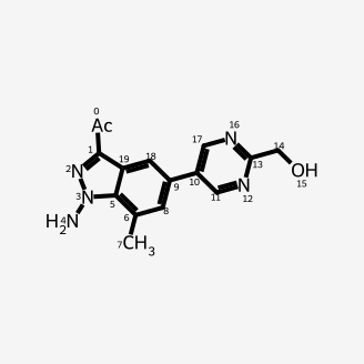 CC(=O)c1nn(N)c2c(C)cc(-c3cnc(CO)nc3)cc12